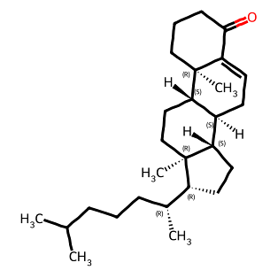 CC(C)CCC[C@@H](C)[C@H]1CC[C@H]2[C@@H]3CC=C4C(=O)CCC[C@]4(C)[C@H]3CC[C@]12C